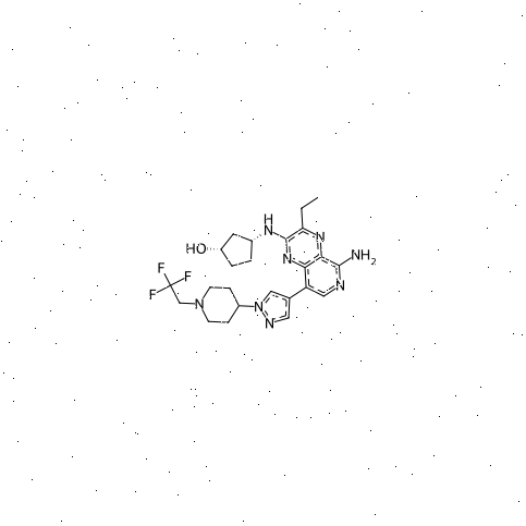 CCc1nc2c(N)ncc(-c3cnn(C4CCN(CC(F)(F)F)CC4)c3)c2nc1N[C@@H]1CC[C@H](O)C1